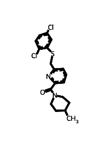 CC1CCN(C(=O)c2cccc(CSc3cc(Cl)ccc3Cl)n2)CC1